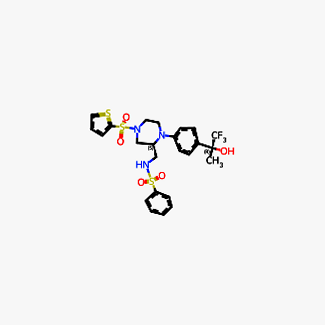 C[C@@](O)(c1ccc(N2CCN(S(=O)(=O)c3cccs3)C[C@@H]2CNS(=O)(=O)c2ccccc2)cc1)C(F)(F)F